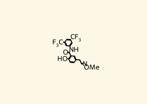 CON=CCc1ccc(O)c(C(=O)Nc2cc(C(F)(F)F)cc(C(F)(F)F)c2)c1